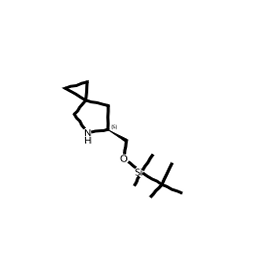 CC(C)(C)[Si](C)(C)OC[C@@H]1CC2(CC2)CN1